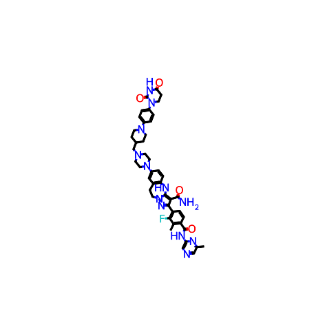 Cc1cncc(NC(=O)c2ccc(-c3nn4c(c3C(N)=O)Nc3ccc(N5CCN(CC6CCN(c7ccc(N8CCC(=O)NC8=O)cc7)CC6)CC5)cc3CC4)c(F)c2C)n1